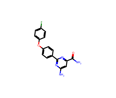 NC(=O)c1cc(N)nc(-c2ccc(Oc3ccc(F)cc3)cc2)n1